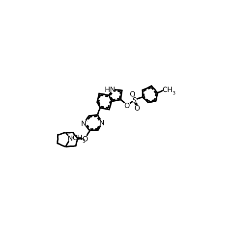 Cc1ccc(S(=O)(=O)Oc2c[nH]c3ccc(-c4cnc(OC5CC6CCC(C5)N6C)cn4)cc23)cc1